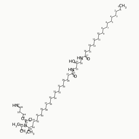 CCCCCCCCCCCCCCCCCC(=O)NCC(O)CNC(=O)CCCCCCCCCCCCCCCCCCC(C)N(C(C)C)P(Cl)OCCC=N